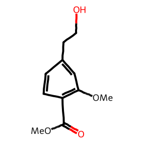 COC(=O)c1ccc(CCO)cc1OC